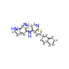 N#Cc1cnc2sc(-c3ccc4ccccc4c3)cc2c1Nc1ccc2[nH]ccc2c1